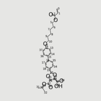 C=CC(=O)OCCCCCCOc1ccc(-c2ccc(C3O[C@@H](C(=O)O)[C@H](C(=O)OC(C)C)O3)cc2)cc1